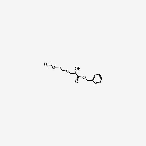 COCCOCC(O)C(=O)OCc1ccccc1